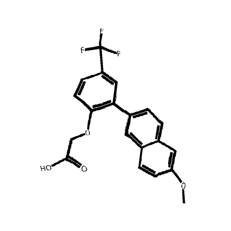 COc1ccc2cc(-c3cc(C(F)(F)F)ccc3OCC(=O)O)ccc2c1